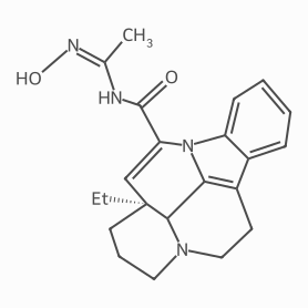 CC[C@@]12C=C(C(=O)N/C(C)=N\O)n3c4c(c5ccccc53)CCN(CCC1)C42